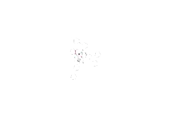 c1ccc(-c2ccc(-c3nc(-c4ccccc4)nc(-c4cc5c6ccccc6c6ccccc6c5cc4-n4c5ccccc5c5c(-c6ccccc6)cccc54)n3)cc2)cc1